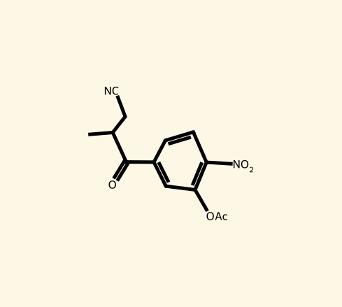 CC(=O)Oc1cc(C(=O)C(C)CC#N)ccc1[N+](=O)[O-]